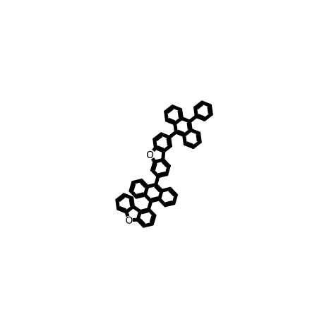 c1ccc(-c2c3ccccc3c(-c3ccc4oc5cc(-c6c7ccccc7c(-c7cccc8oc9ccccc9c78)c7ccccc67)ccc5c4c3)c3ccccc23)cc1